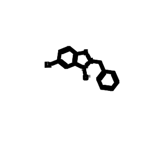 CCc1ccc2c(c1)[S+]([O-])N(Cc1ccccc1)S2